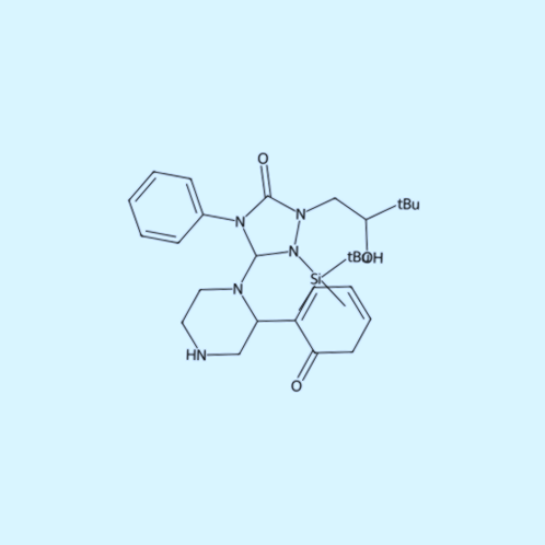 CC(C)(C)C(O)CN1C(=O)N(c2ccccc2)C(N2CCNCC2C2=CC=CCC2=O)N1[Si](C)(C)C(C)(C)C